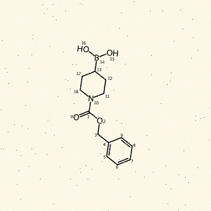 O=C(OCc1ccccc1)N1CCC(B(O)O)CC1